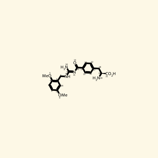 COc1ccc(OC)c(CN/C(N)=N/C(=O)c2ccc(C[C@H](N)C(=O)O)cc2)c1